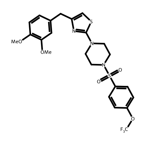 COc1ccc(Cc2csc(N3CCN(S(=O)(=O)c4ccc(OC(F)(F)F)cc4)CC3)n2)cc1OC